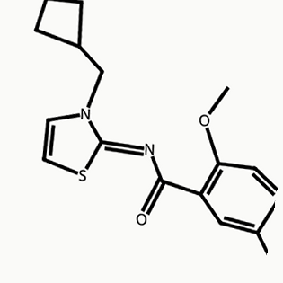 COc1ccc(Cl)cc1C(=O)N=c1sccn1CC1CCC1